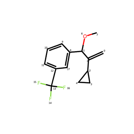 C=C(C1CC1)C(OC)c1cccc(C(F)(F)F)c1